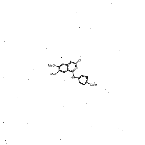 COc1ccc(Nc2nc(Cl)nc3cc(OC)c(OC)cc23)cc1